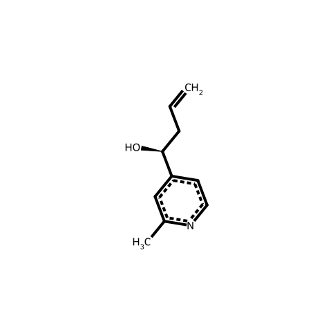 C=CC[C@H](O)c1ccnc(C)c1